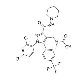 CN(Cc1c(C(=O)NN2CCCCC2)nn(-c2ccc(Cl)cc2Cl)c1-c1ccc(C(F)(F)F)cc1)C(=O)O